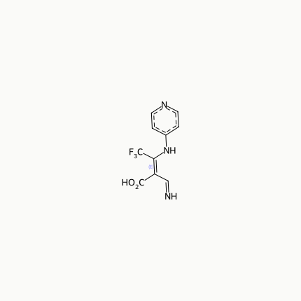 N=C/C(C(=O)O)=C(\Nc1ccncc1)C(F)(F)F